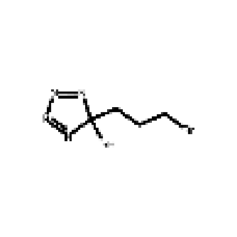 SC1(CCCBr)N=NN=N1